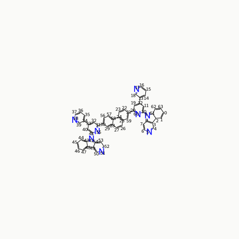 C1=CC2c3cnccc3N(c3cc(-c4cccnc4)cc(-c4ccc5c(ccc6cc(-c7cc(-c8cccnc8)cc(-n8c9ccccc9c9cnccc98)n7)ccc65)c4)n3)C2C=C1